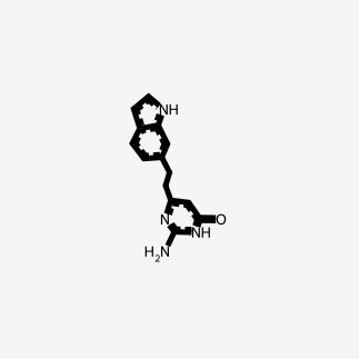 Nc1nc(CCc2ccc3cc[nH]c3c2)cc(=O)[nH]1